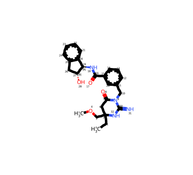 CCC1(COC)CC(=O)N(Cc2cccc(C(=O)N[C@@H]3c4ccccc4C[C@H]3O)c2)C(=N)N1